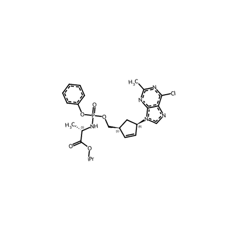 Cc1nc(Cl)c2ncn([C@H]3C=C[C@@H](COP(=O)(N[C@@H](C)C(=O)OC(C)C)Oc4ccccc4)C3)c2n1